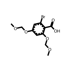 COCOc1cc(Br)c(C(=O)O)c(OCOC)c1